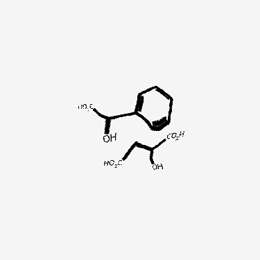 O=C(O)C(O)c1ccccc1.O=C(O)CC(O)C(=O)O